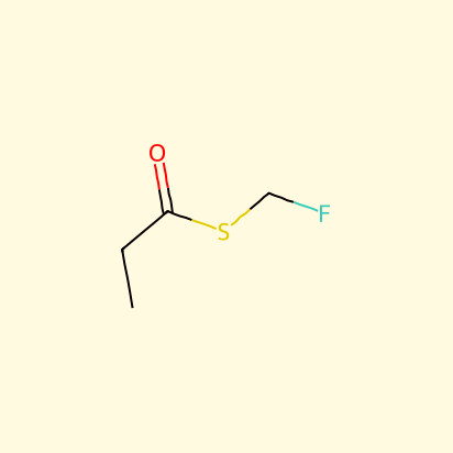 CCC(=O)SCF